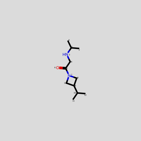 CC(C)NCC(=O)N1CC(C(C)C)C1